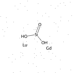 O=[Si](O)O.[Gd].[Lu]